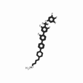 COCCCCC1CCC(c2ccc(-c3ccc(-c4cc(F)c(C(F)(F)Oc5cc(F)c(F)c(F)c5)c(F)c4)c(F)c3)cc2)CC1